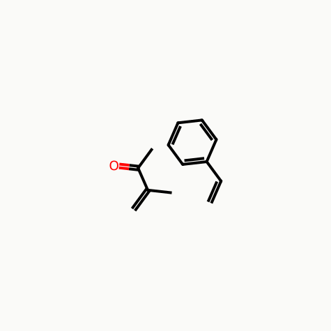 C=C(C)C(C)=O.C=Cc1ccccc1